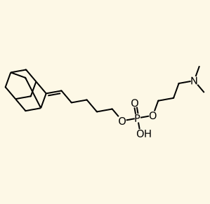 CN(C)CCCOP(=O)(O)OCCCCC=C1C2CC3CC(C2)CC1C3